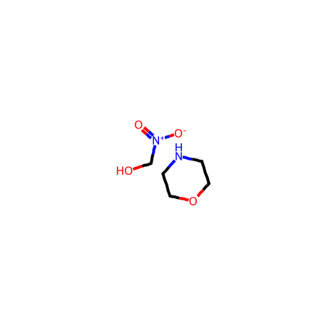 C1COCCN1.O=[N+]([O-])CO